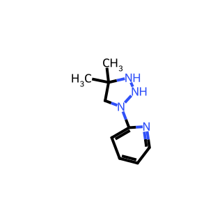 CC1(C)CN(c2ccccn2)NN1